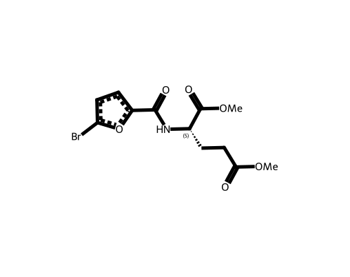 COC(=O)CC[C@H](NC(=O)c1ccc(Br)o1)C(=O)OC